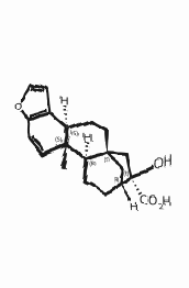 C[C@@]12C=Cc3occc3[C@H]1CC[C@@]13C[C@@H](CC[C@H]12)[C@@](O)(C(=O)O)C3